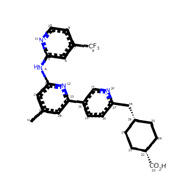 Cc1cc(Nc2cc(C(F)(F)F)ccn2)nc(-c2ccc(C[C@H]3CC[C@@H](C(=O)O)CC3)nc2)c1